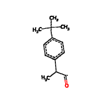 CC([C]=O)c1ccc(C(C)(C)C)cc1